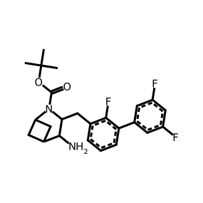 CC(C)(C)OC(=O)N1C2CC(C2)C(N)C1Cc1cccc(-c2cc(F)cc(F)c2)c1F